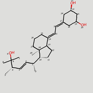 C[C@H](/C=C/[C@H](C)C(C)(C)O)[C@H]1CCC2/C(=C/C=C3\CC(O)C[C@H](O)C3)CCC[C@@]21C